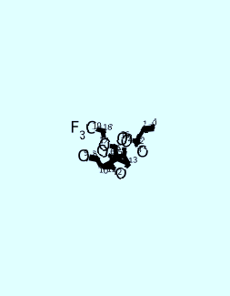 C=CC(=O)OC1C2OC(=O)C3C2OC1C3C(=O)OCC(F)(F)F